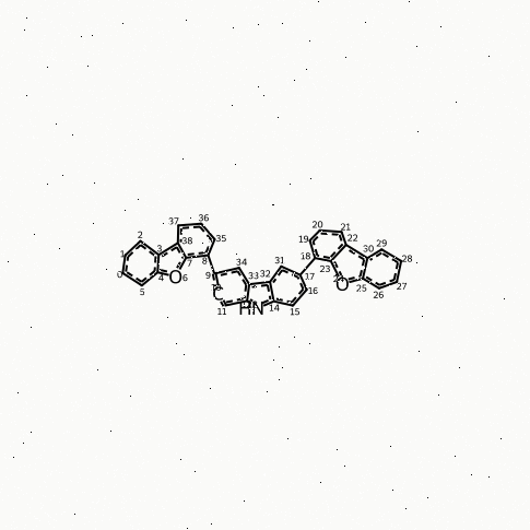 c1ccc2c(c1)oc1c(-c3ccc4[nH]c5ccc(-c6cccc7c6oc6ccccc67)cc5c4c3)cccc12